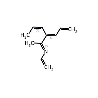 C=C/C=C(\C=C/C)C(/C)=N/C=C